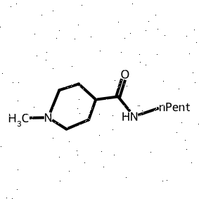 CCCCCNC(=O)C1CCN(C)CC1